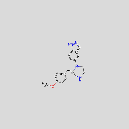 COc1ccc(C[C@@H]2CNCCN2c2ccc3[nH]ncc3c2)cc1